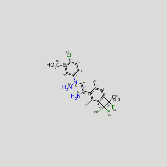 Cc1cc2c(c(C)c1/C(N)=C/N(N)c1ccc(Cl)c(C(=O)O)c1)C(F)(F)C2(F)C(F)(F)F